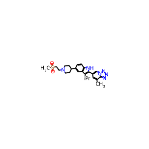 Cc1cc(-c2[nH]c3ccc(C4CCN(CCS(C)(=O)=O)CC4)cc3c2C(C)C)cn2nnnc12